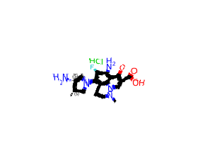 C[C@H]1CN(c2c(F)c(N)c3c(=O)c(C(=O)O)cn4c3c2CCN4C)C[C@H]1N.Cl